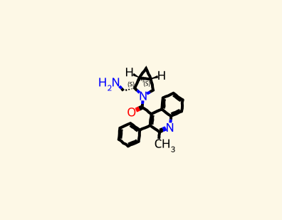 Cc1nc2ccccc2c(C(=O)N2C[C@H]3C[C@H]3[C@H]2CN)c1-c1ccccc1